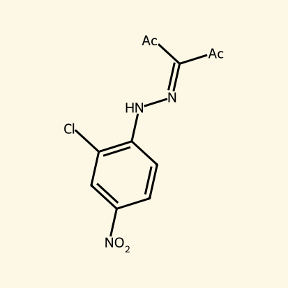 [CH2]C(=O)C(=NNc1ccc([N+](=O)[O-])cc1Cl)C(C)=O